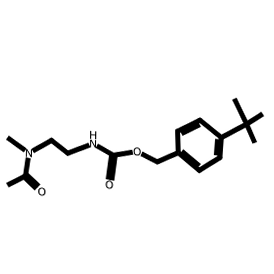 CC(=O)N(C)CCNC(=O)OCc1ccc(C(C)(C)C)cc1